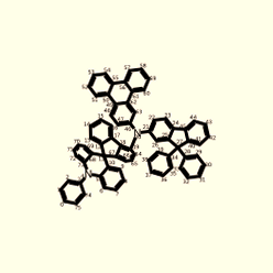 c1ccc(N2c3ccccc3C3(c4ccccc4-c4c(N(c5ccc6c(c5)C(c5ccccc5)(c5ccccc5)c5ccccc5-6)c5ccc6c7ccccc7c7ccccc7c6c5)cccc43)c3ccccc32)cc1